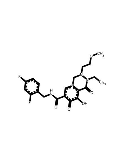 CCN1C(=O)c2c(O)c(=O)c(C(=O)NCc3ccc(F)cc3F)cn2CN1CCOC